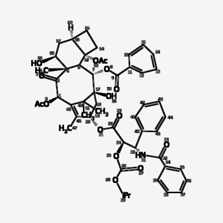 CC(=O)O[C@H]1C(=O)[C@@]2(C)C([C@H](OC(=O)c3ccccc3)[C@]3(O)C[C@H](OC(=O)[C@H](OC(=O)OC(C)C)[C@@H](NC(=O)c4ccccc4)c4ccccc4)C(C)=C1C3(C)C)[C@]1(OC(C)=O)CC[C@@H]1C[C@@H]2O